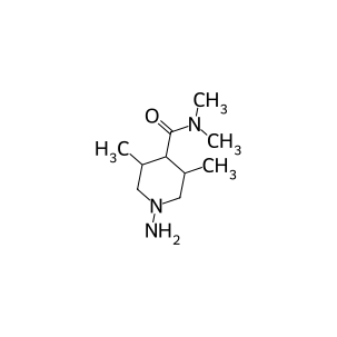 CC1CN(N)CC(C)C1C(=O)N(C)C